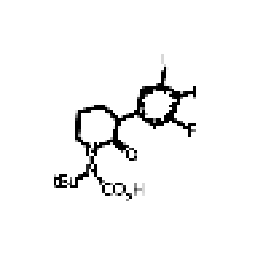 CC(C)(C)N(C(=O)O)N1CCCC(c2cc(F)c(F)c(F)c2)C1=O